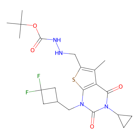 Cc1c(CNNC(=O)OC(C)(C)C)sc2c1c(=O)n(C1CC1)c(=O)n2CC1CC(F)(F)C1